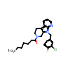 CCOC(=O)CCCCCC(=O)N1CCc2c(n(Cc3ccc(F)c(Cl)c3)c3ncccc23)C1